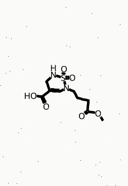 COC(=O)CCCN1C=C(C(=O)O)CNS1(=O)=O